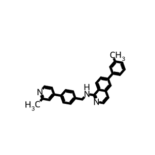 Cc1cccc(-c2ccc3c(NCc4ccc(-c5ccnc(C)c5)cc4)nccc3c2)c1